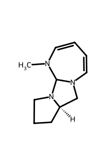 CN1C=CC=CN2C[C@H]3CCCN3C12